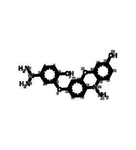 NN(N)c1ccc(O)c(Oc2ccc3c(c2)Oc2cc(O)ccc2N3N)c1